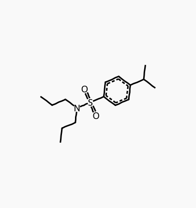 CCCN(CCC)S(=O)(=O)c1ccc(C(C)C)cc1